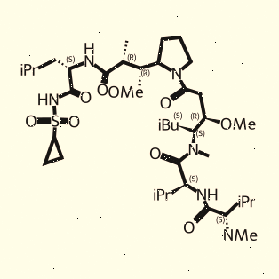 CC[C@H](C)[C@@H]([C@@H](CC(=O)N1CCCC1[C@H](OC)[C@@H](C)C(=O)N[C@@H](CC(C)C)C(=O)NS(=O)(=O)C1CC1)OC)N(C)C(=O)[C@@H](NC(=O)[C@@H](NC)C(C)C)C(C)C